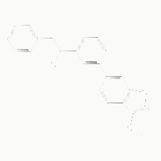 Nc1n[nH]c2cc(-c3cccc(C(N)Cc4ccccc4)c3)ccc12